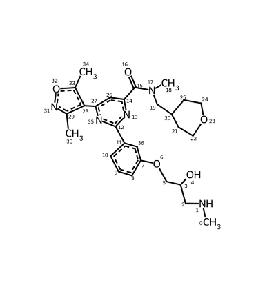 CNCC(O)COc1cccc(-c2nc(C(=O)N(C)CC3CCOCC3)cc(-c3c(C)noc3C)n2)c1